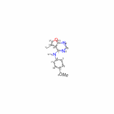 COc1ccc(N(C)c2ncnc3occ(C)c23)cc1